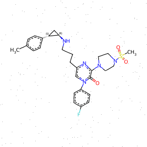 Cc1ccc([C@@H]2C[C@H]2NCCCc2cn(-c3ccc(F)cc3)c(=O)c(N3CCN(S(C)(=O)=O)CC3)n2)cc1